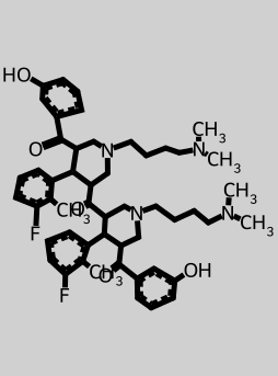 Cc1c(F)cccc1C1C(C(=O)c2cccc(O)c2)CN(CCCCN(C)C)CC1C(=O)C1CN(CCCCN(C)C)CC(C(=O)c2cccc(O)c2)C1c1cccc(F)c1C